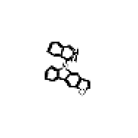 c1ccc2c(-n3c4ccccc4c4cc5occc5cc43)nncc2c1